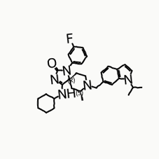 CC(C)n1ccc2ccc(CN3CC[C@@]4(C[C@@H]3C)C(NC3CCCCC3)=NC(=O)N4c3cccc(F)c3)cc21